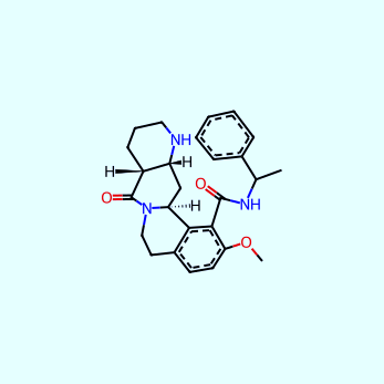 COc1ccc2c(c1C(=O)NC(C)c1ccccc1)[C@@H]1C[C@H]3NCCC[C@H]3C(=O)N1CC2